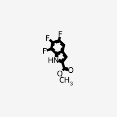 COC(=O)c1cc2cc(F)c(F)c(F)c2[nH]1